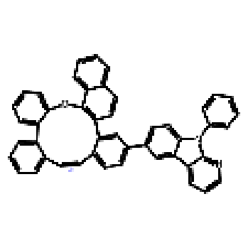 C1=C\c2ccc(-c3ccc4c(c3)c3cccnc3n4-c3ccccc3)cc2-c2ccc3ccccc3c2Oc2ccccc2-c2ccccc2/1